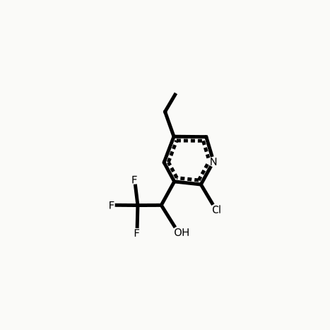 CCc1cnc(Cl)c(C(O)C(F)(F)F)c1